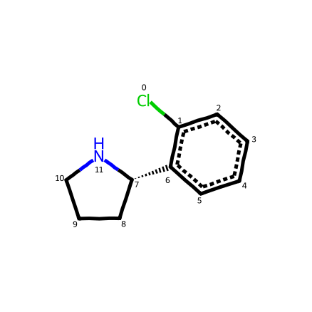 Clc1ccccc1[C@@H]1CCCN1